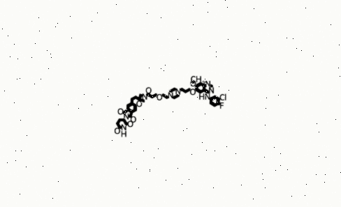 COc1cc2ncnc(Nc3ccc(F)c(Cl)c3)c2cc1OCCCN1CCN(CCOCCC(=O)N2CC3(CCc4cc5c(cc4O3)C(=O)N(C3CCC(=O)NC3=O)C5=O)C2)CC1